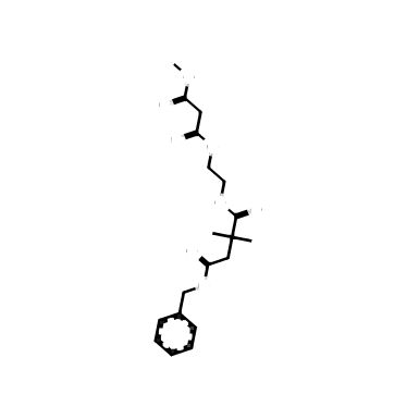 COC(=O)CC(=O)OCCOC(=O)C(C)(C)CC(=O)OCc1ccccc1